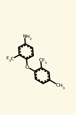 Cc1ccc(Oc2ccc(N)cc2C(F)(F)F)c(C(F)(F)F)c1